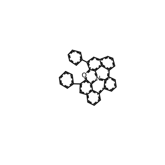 c1ccc(-c2cc3cccc4c5cccc6c7cccc8cc(-c9ccccc9)c9oc2c(c34)n(c56)c9c87)cc1